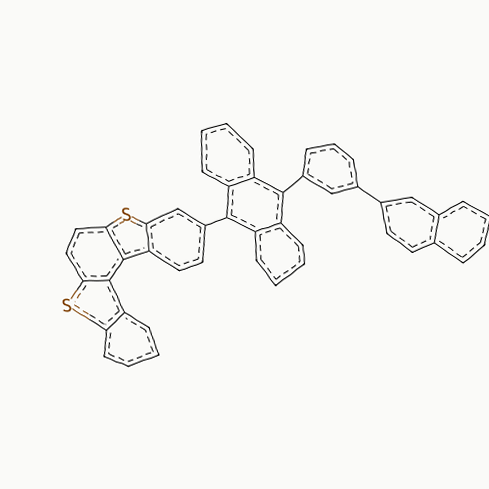 c1cc(-c2ccc3ccccc3c2)cc(-c2c3ccccc3c(-c3ccc4c(c3)sc3ccc5sc6ccccc6c5c34)c3ccccc23)c1